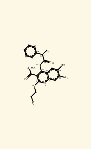 COC(=O)c1c(SCCF)nc2cc(F)c(F)cc2c1OC(=O)[C@H](C)c1ccccc1